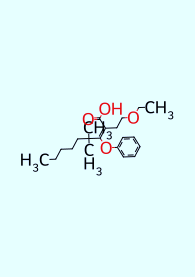 CCCCCC(C)(C)C(Oc1ccccc1)=C(CCOCC)C(=O)O